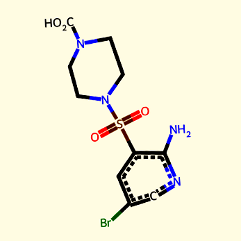 Nc1ncc(Br)cc1S(=O)(=O)N1CCN(C(=O)O)CC1